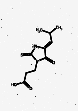 CC(C)/C=C1\NC(=S)N(CCC(=O)O)C1=O